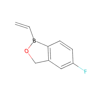 C=CB1OCc2cc(F)ccc21